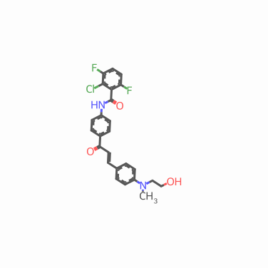 CN(CCO)c1ccc(/C=C/C(=O)c2ccc(NC(=O)c3c(F)ccc(F)c3Cl)cc2)cc1